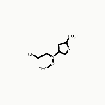 NCCN(OC=O)C1CNC(C(=O)O)C1